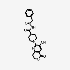 N#Cc1cc2c(nc1N1CCC(C(=O)N[S+]([O-])Cc3ccccc3)CC1)CCOC2=O